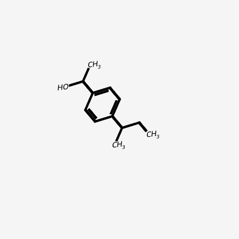 CCC(C)c1ccc(C(C)O)cc1